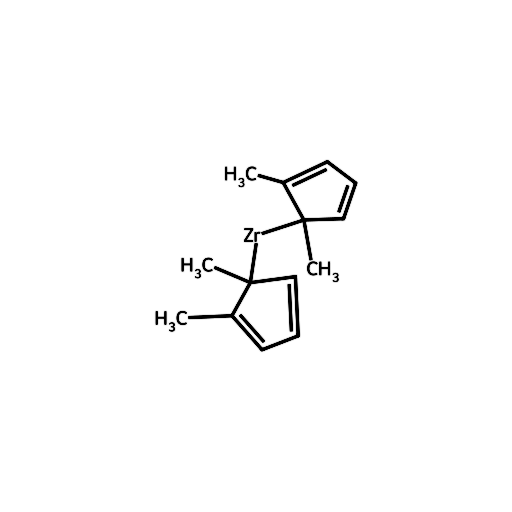 CC1=CC=C[C]1(C)[Zr][C]1(C)C=CC=C1C